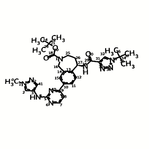 Cn1cc(Nc2nccc(-c3ccc4c(c3)CN(C(=O)OC(C)(C)C)CC[C@H]4NC(=O)c3cn(C(C)(C)C)nn3)n2)cn1